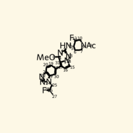 COc1nc(N[C@H]2CCN(C(C)=O)C[C@H]2F)nn2ccc(-c3ccc4nnn(C[C@@H](C)F)c4c3)c12